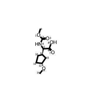 COC(=O)NC(C(=O)O)[C@@H]1CC[C@@H](OC)C1